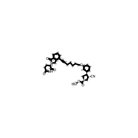 CC(C)(C)OC(=O)N1C[C@@H](C#N)[C@H](c2cccc(OCCCCCC#Cc3cccc4c3CN([C@@H]3CCC(=O)NC3=O)C4=O)c2)C1